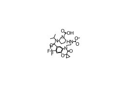 COC(=O)NCCN1C(=O)C2(CC2)Oc2cc(C(F)(F)F)c(C(=O)N(C(C)C)[C@@H]3CCCN(C(=O)O)C3)cc21